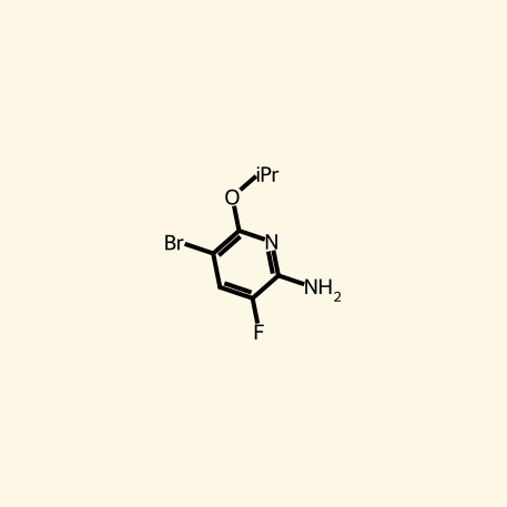 CC(C)Oc1nc(N)c(F)cc1Br